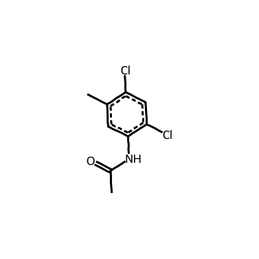 CC(=O)Nc1cc(C)c(Cl)cc1Cl